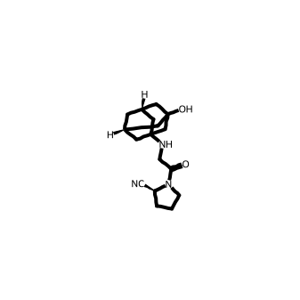 N#C[C@@H]1CCCN1C(=O)CNC12C[C@@H]3C[C@H](CC(O)(C3)C1)C2